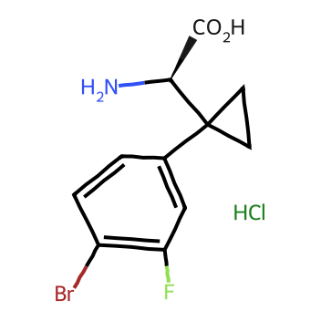 Cl.N[C@@H](C(=O)O)C1(c2ccc(Br)c(F)c2)CC1